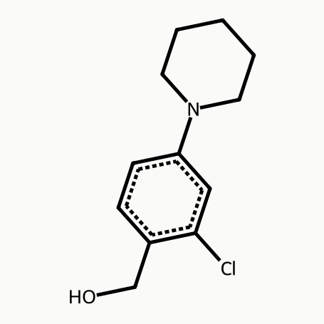 OCc1ccc(N2CCCCC2)cc1Cl